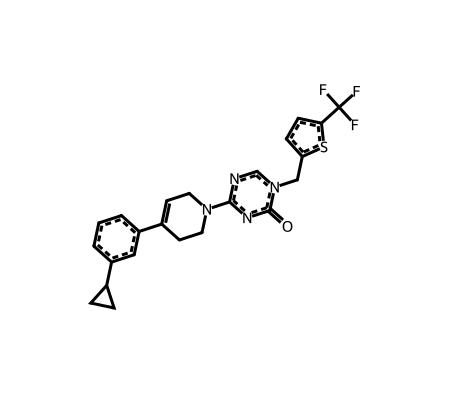 O=c1nc(N2CC=C(c3cccc(C4CC4)c3)CC2)ncn1Cc1ccc(C(F)(F)F)s1